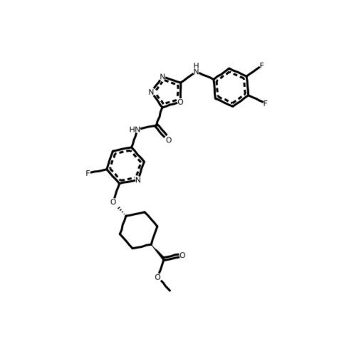 COC(=O)[C@H]1CC[C@H](Oc2ncc(NC(=O)c3nnc(Nc4ccc(F)c(F)c4)o3)cc2F)CC1